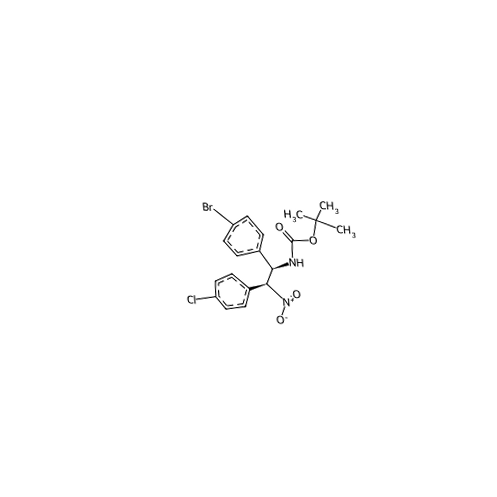 CC(C)(C)OC(=O)N[C@H](c1ccc(Br)cc1)[C@H](c1ccc(Cl)cc1)[N+](=O)[O-]